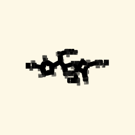 CON=C(C(=O)N[C@@]1(NC=O)CN(S(=O)(=O)O)C1=O)c1csc(N)n1